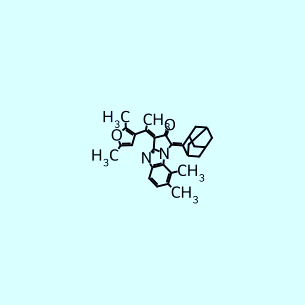 C/C(=C1\C(=O)C(=C2C3CC4CC(C3)CC2C4)n2c1nc1ccc(C)c(C)c12)c1cc(C)oc1C